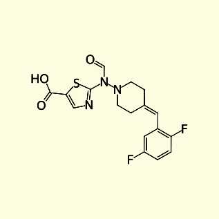 O=CN(c1ncc(C(=O)O)s1)N1CCC(=Cc2cc(F)ccc2F)CC1